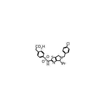 CC(C)[C@H]1c2nc(NS(=O)(=O)c3ccc(CC(=O)O)cc3)sc2CN1Cc1ccc(Cl)cc1